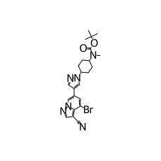 CN(C(=O)OC(C)(C)C)C1CCC(n2cc(-c3cc(Br)c4c(C#N)cnn4c3)cn2)CC1